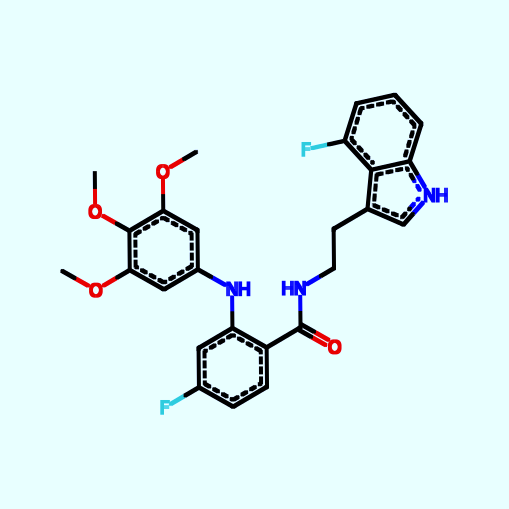 COc1cc(Nc2cc(F)ccc2C(=O)NCCc2c[nH]c3cccc(F)c23)cc(OC)c1OC